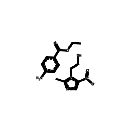 CCOC(=O)c1ccc(N)cc1.Cc1ncc([N+](=O)[O-])n1CCO